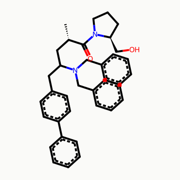 C[C@@H](CC(Cc1ccc(-c2ccccc2)cc1)N(Cc1ccccc1)Cc1ccccc1)C(=O)N1CCC[C@H]1CO